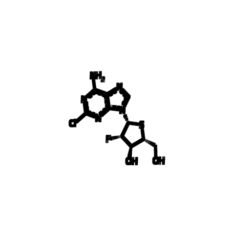 Nc1nc(Cl)nc2c1ncn2[C@@H]1S[C@H](CO)[C@@H](O)[C@@H]1F